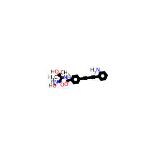 CC(C)(O)C(NC(=O)c1ccc(C#CC#Cc2ccccc2N)cc1)C(=O)NO